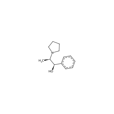 C[C@H]([C@H](O)c1ccccc1)N1CCCC1